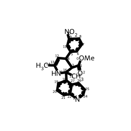 COC(=O)C1C(c2cccc([N+](=O)[O-])c2)C=C(C)NC1(C)c1cccc2ncccc12